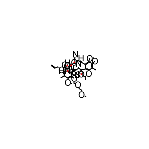 C=CCOC(=O)NC1CS[C@@H]2c3c(OC(C)=O)c(C)c4c(c3[C@H](COC1=O)N1C2[C@H]2c3c(cc(C)c(OC)c3OCOCCOC)C[C@@H](C1C#N)N2C)OCO4